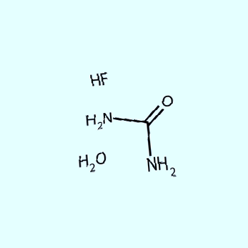 F.NC(N)=O.O